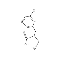 CCC(Cc1cncc(Cl)n1)C(=O)O